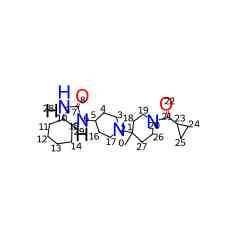 CC1(N2CCC(N3C(=O)N[C@@H]4CCCC[C@H]43)CC2)CCN(C(=O)C2CC2)CC1